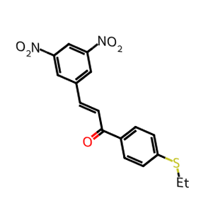 CCSc1ccc(C(=O)/C=C/c2cc([N+](=O)[O-])cc([N+](=O)[O-])c2)cc1